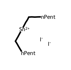 CCCCC[CH2][Sn+2][CH2]CCCCC.[I-].[I-]